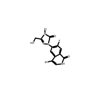 CCn1c(CO)nn(-c2cc3c(C(C)C)c[nH]c(=O)c3cc2F)c1=O